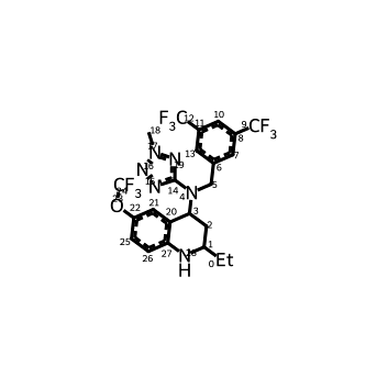 CCC1CC(N(Cc2cc(C(F)(F)F)cc(C(F)(F)F)c2)c2nnn(C)n2)c2cc(OC(F)(F)F)ccc2N1